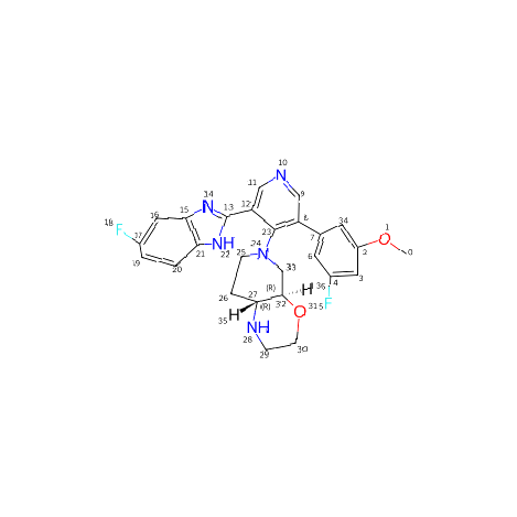 COc1cc(F)cc(-c2cncc(-c3nc4cc(F)ccc4[nH]3)c2N2CC[C@H]3NCCO[C@@H]3C2)c1